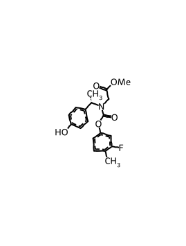 COC(=O)CN(C(=O)Oc1ccc(C)c(F)c1)[C@@H](C)c1ccc(O)cc1